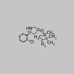 CC(C)(C)[Si](C)(C)O[C@@H]1CN[C@H](c2ccccc2Cl)C1